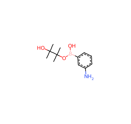 CC(C)(O)C(C)(C)OB(O)c1cccc(N)c1